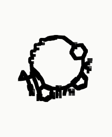 C[C@H]1Nc2ncnc3nc(c(C4(C#N)CC4)cc23)CCCC/C=C\CN2CCC(CC2)C(F)(F)c2cccc1c2